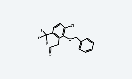 O=CCc1c(C(F)(F)F)ccc(Cl)c1OCc1ccccc1